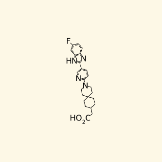 O=C(O)CC1CCC2(CC1)CCN(c1ccc(-c3nc4ccc(F)cc4[nH]3)cn1)CC2